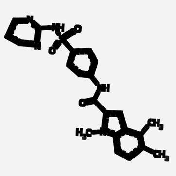 Cc1ccc2c(cc(C(=O)Nc3ccc(S(=O)(=O)Nc4ncccn4)cc3)n2C)c1C